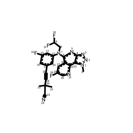 Cn1nnc2nc(N(CC(F)F)c3cc(F)cc(C#CC(C)(C)C#N)c3)c3cc(F)cnc3c21